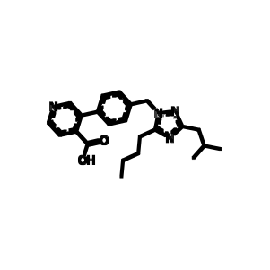 CCCCc1nc(CC(C)C)nn1Cc1ccc(-c2cnccc2C(=O)O)cc1